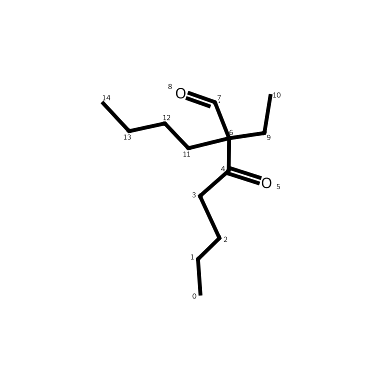 CCCCC(=O)C([C]=O)(CC)CCCC